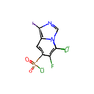 O=S(=O)(Cl)c1cc2c(I)ncn2c(Cl)c1F